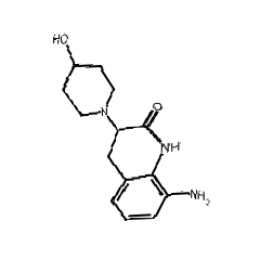 Nc1cccc2c1NC(=O)C(N1CCC(O)CC1)C2